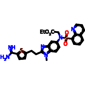 CCOC(=O)CN(c1ccc2c(c1)nc(CCc1ccc(C(=N)N)s1)n2C)S(=O)(=O)c1cccc2cccnc12